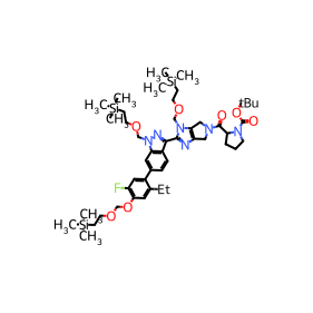 CCc1cc(OCOCC[Si](C)(C)C)c(F)cc1-c1ccc2c(-c3nc4c(n3COCC[Si](C)(C)C)CN(C(=O)C3CCCN3C(=O)OC(C)(C)C)C4)nn(COCC[Si](C)(C)C)c2c1